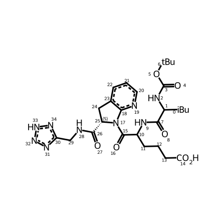 CCC(C)C(NC(=O)OC(C)(C)C)C(=O)NC(CCCC(=O)O)C(=O)N1c2ncccc2C[C@H]1C(=O)NCc1nn[nH]n1